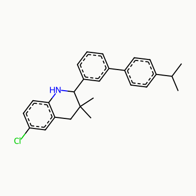 CC(C)c1ccc(-c2cccc(C3Nc4ccc(Cl)cc4CC3(C)C)c2)cc1